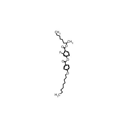 CCCCCCCCCOc1ccc(C(=O)Oc2ccc(C(=O)OC(C)CCCCCC)c(F)c2)cc1